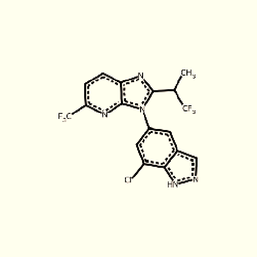 CC(c1nc2ccc(C(F)(F)F)nc2n1-c1cc(Cl)c2[nH]ncc2c1)C(F)(F)F